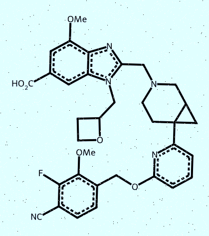 COc1c(COc2cccc(C34CCN(Cc5nc6c(OC)cc(C(=O)O)cc6n5CC5CCO5)CC3C4)n2)ccc(C#N)c1F